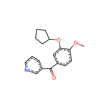 COc1ccc(C(=O)c2cccnc2)cc1OC1CCCC1